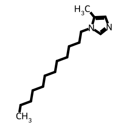 CCCCCCCCCCCCn1cncc1C